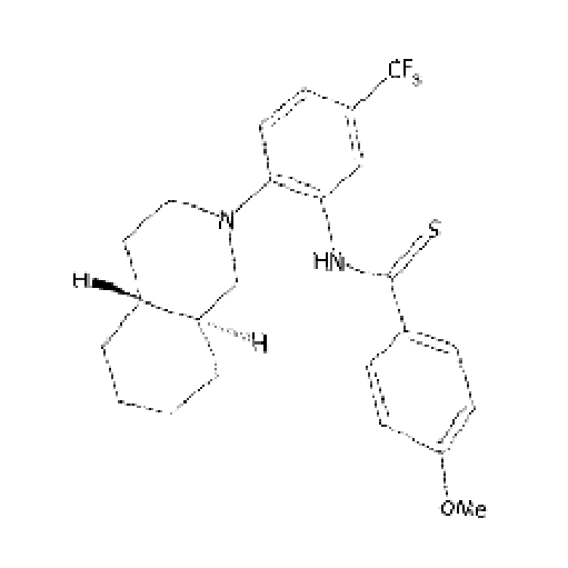 COc1ccc(C(=S)Nc2cc(C(F)(F)F)ccc2N2CC[C@H]3CCCC[C@@H]3C2)cc1